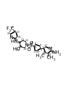 Cc1c(-c2ccc(S(=O)(=O)N3CC[C@@H](Nc4ccc(C(F)(F)F)cn4)[C@@H](O)C3)cc2)cnc(N)c1C